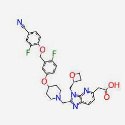 N#Cc1ccc(OCc2cc(OC3CCN(Cc4nc5ccc(CC(=O)O)nc5n4C[C@@H]4CCO4)CC3)ccc2F)c(F)c1